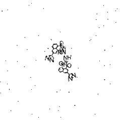 C[C@H](CNCCNC[C@@H](C)N1C(=O)c2cccc3cc(-c4cncnc4)cc(c23)C1=O)N1C(=O)c2cccc3cc(-c4cncnc4)cc(c23)C1=O